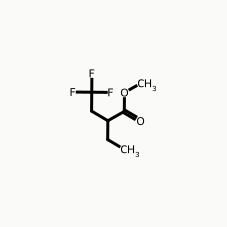 CCC(CC(F)(F)F)C(=O)OC